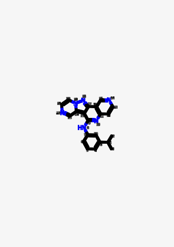 CC(C)c1cccc(Nc2nc3ccncc3c3nn4ccncc4c23)c1